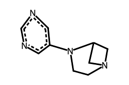 c1ncc(N2CCN3CC2C3)cn1